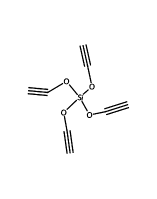 C#CO[Si](OC#C)(OC#C)OC#C